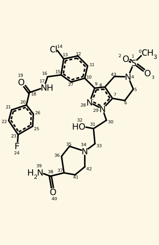 CS(=O)(=O)N1CCc2c(c(-c3ccc(Cl)c(CNC(=O)c4ccc(F)cc4)c3)nn2CC(O)CN2CCC(C(N)=O)CC2)C1